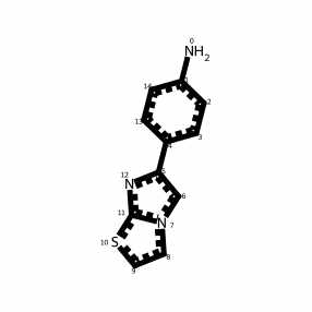 Nc1ccc(-c2cn3ccsc3n2)cc1